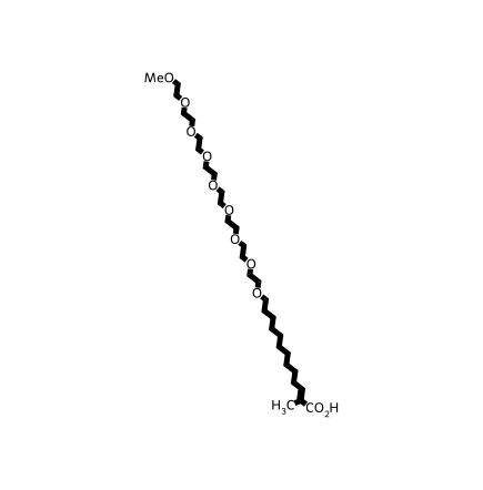 COCCOCCOCCOCCOCCOCCOCCOCCOCCCCCCCCCCC=C(C)C(=O)O